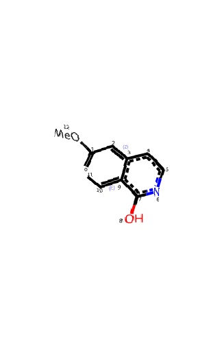 C=C(/C=c1/ccnc(O)/c1=C/C)OC